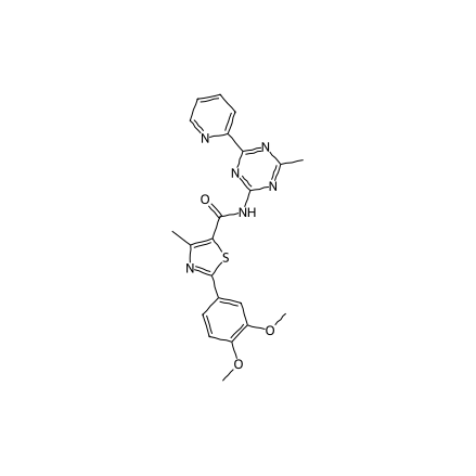 COc1ccc(-c2nc(C)c(C(=O)Nc3nc(C)nc(-c4ccccn4)n3)s2)cc1OC